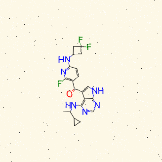 CC(Nc1ncnc2[nH]cc(C(=O)c3ccc(NC4CC(F)(F)C4)nc3F)c12)C1CC1